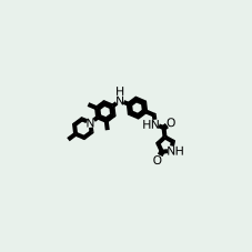 Cc1cc(Nc2ccc(CNC(=O)C3CNC(=O)C3)cc2)cc(C)c1N1CCC(C)CC1